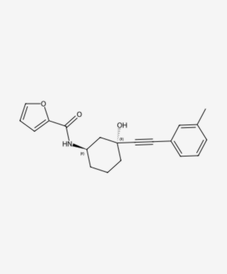 Cc1cccc(C#C[C@@]2(O)CCC[C@@H](NC(=O)c3ccco3)C2)c1